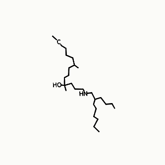 CCCCCCC(C)CCCC(C)(O)CCCNCC(CCCC)CCCCCC